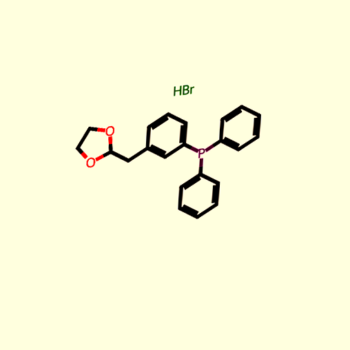 Br.c1ccc(P(c2ccccc2)c2cccc(CC3OCCO3)c2)cc1